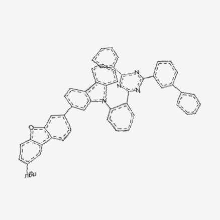 CCCCc1ccc2oc3cc(-c4ccc5c6ccccc6n(-c6ccccc6-c6nc(-c7ccccc7)nc(-c7cccc(-c8ccccc8)c7)n6)c5c4)ccc3c2c1